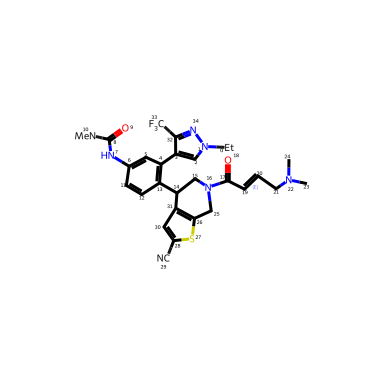 CCn1cc(-c2cc(NC(=O)NC)ccc2C2CN(C(=O)/C=C/CN(C)C)Cc3sc(C#N)cc32)c(C(F)(F)F)n1